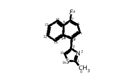 Cc1nc(-c2ccc(F)c3ccccc23)cs1